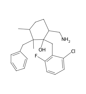 CC1CCC(CN)C(O)(Cc2c(F)cccc2Cl)C1(C)Cc1ccccc1